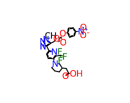 Cn1nnc(-c2ccc(N3CCCC(CC(=O)O)C3)c(C(F)(F)F)n2)c1COC(=O)Oc1ccc([N+](=O)[O-])cc1